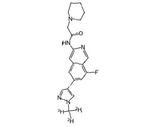 [2H]C([2H])([2H])n1cc(-c2cc(F)c3cnc(NC(=O)CN4CCCCC4)cc3c2)cn1